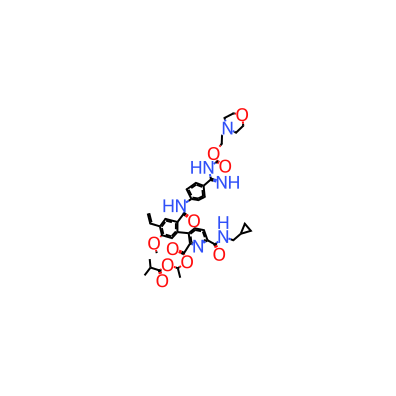 C=Cc1cc(C(=O)Nc2ccc(C(=N)NC(=O)OCCN3CCOCC3)cc2)c(-c2ccc(C(=O)NCC3CC3)nc2C(=O)OC(C)OC(=O)C(C)C)cc1OC